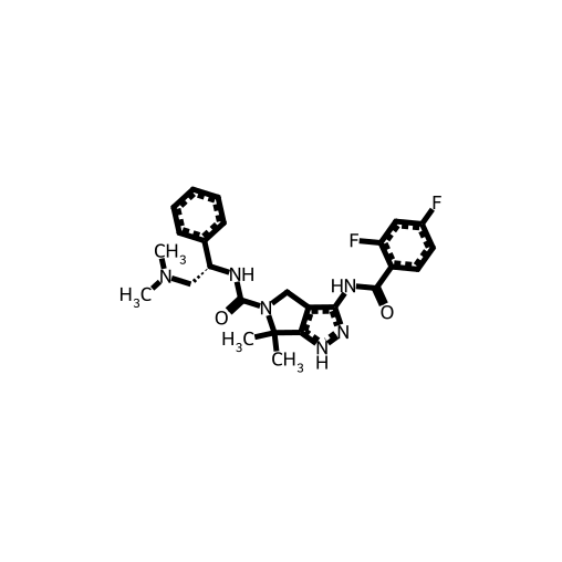 CN(C)C[C@@H](NC(=O)N1Cc2c(NC(=O)c3ccc(F)cc3F)n[nH]c2C1(C)C)c1ccccc1